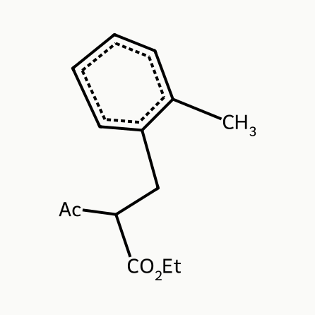 CCOC(=O)C(Cc1ccccc1C)C(C)=O